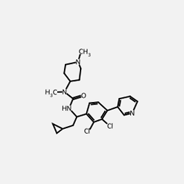 CN1CCC(N(C)C(=O)NC(CC2CC2)c2ccc(-c3cccnc3)c(Cl)c2Cl)CC1